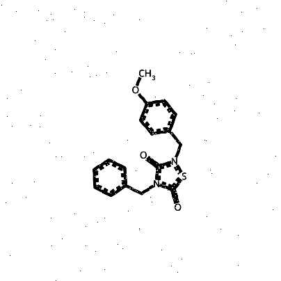 COc1ccc(Cn2sc(=O)n(Cc3ccccc3)c2=O)cc1